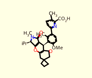 COc1ccc(-c2ccc(C)c(C(=O)O)n2)c(C)c1[C@H]1C2=C(CC3(CCC3)CC2=O)OC2=C1C(=O)N(C)[C@@H]2C(C)C